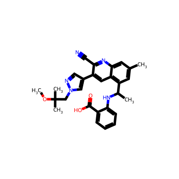 COC(C)(C)Cn1cc(-c2cc3c(C(C)Nc4ccccc4C(=O)O)cc(C)cc3nc2C#N)cn1